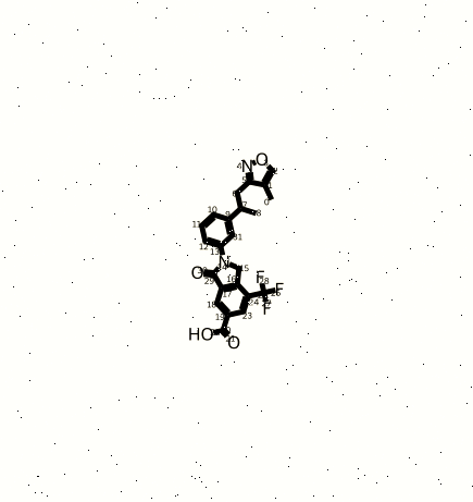 Cc1conc1CC(C)c1cccc(N2Cc3c(cc(C(=O)O)cc3C(F)(F)F)C2=O)c1